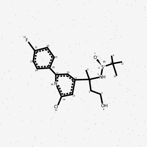 CC(CCO)(N[S@@+]([O-])C(C)(C)C)c1cc(Cl)nc(-c2ccc(F)cc2)c1